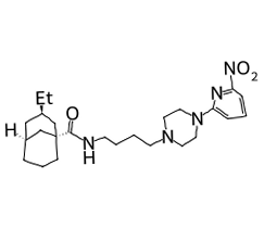 CC[C@@H]1C[C@@H]2CCC[C@](C(=O)NCCCCN3CCN(c4cccc([N+](=O)[O-])n4)CC3)(C1)C2